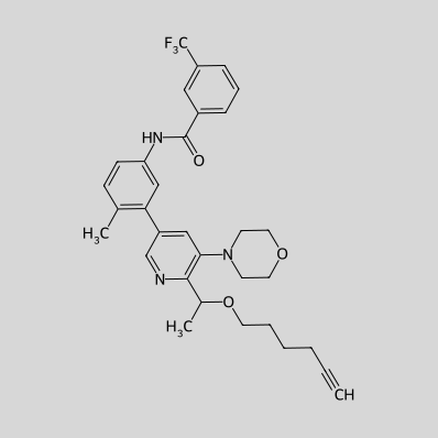 C#CCCCCOC(C)c1ncc(-c2cc(NC(=O)c3cccc(C(F)(F)F)c3)ccc2C)cc1N1CCOCC1